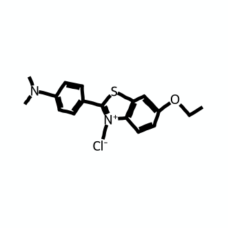 CCOc1ccc2c(c1)sc(-c1ccc(N(C)C)cc1)[n+]2C.[Cl-]